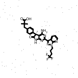 CC(C)(Cc1ccc([C@]2(C)C(=O)Nc3nc(-c4nn(CCCC(F)(F)F)c5ncccc45)nc(N)c32)cc1)C(=O)O